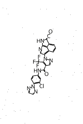 O=C=c1[nH]c2ncc(-n3ncc(C(=O)Nc4ccc(-n5nccn5)c(Cl)c4)c3C(F)(F)F)c3cccc1c23